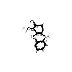 O=C1C=CC2=C(Sc3ccccc3N2)C1C(F)(F)F